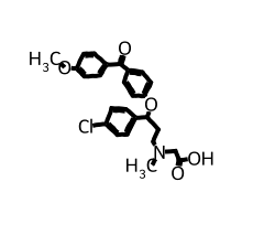 COc1ccc(C(=O)c2ccc(OC(CCN(C)CC(=O)O)c3ccc(Cl)cc3)cc2)cc1